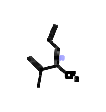 C=C/C=C(\C(=C)C)C(F)(F)F